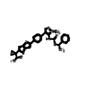 C[C@@H](OC(=O)Nc1c(-c2ccc(-c3cc4sc(C5(C(=O)O)CC5)cc4s3)cc2)cnn1C)c1ccccc1